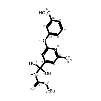 CC(C)(C)OC(=O)NC(O)(O)c1cc(Oc2cccc(C(=O)O)c2)nc(C(F)(F)F)c1